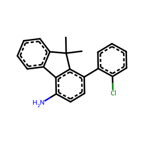 CC1(C)c2ccccc2-c2c(N)ccc(-c3ccccc3Cl)c21